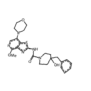 COc1ncc(N2CCOCC2)c2sc(NC(=O)N3CCC(O)(Cc4ccccc4)CC3)nc12